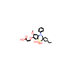 CCCCC1(CC)CN(c2ccccc2)c2cc(OC)c(O/C=C\C(=O)O)cc2S(O)(O)C1